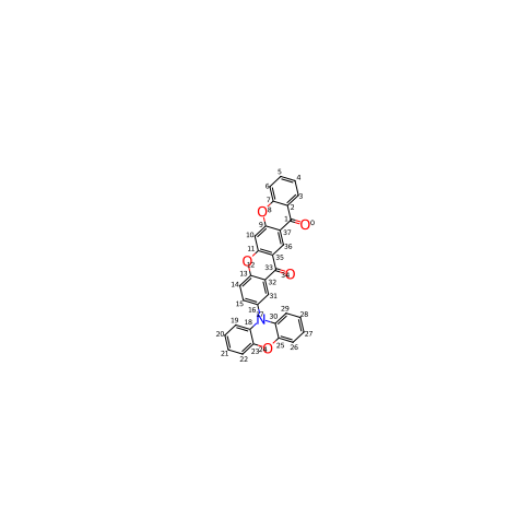 O=c1c2ccccc2oc2cc3oc4ccc(N5c6ccccc6Oc6ccccc65)cc4c(=O)c3cc12